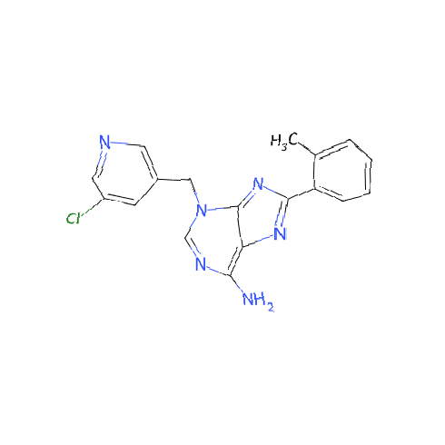 Cc1ccccc1-c1nc2c(N)ncn(Cc3cncc(Cl)c3)c-2n1